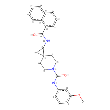 COc1cccc(NC(=O)N2CCC3(CC2)CC3NC(=O)c2cccc3ccccc23)c1